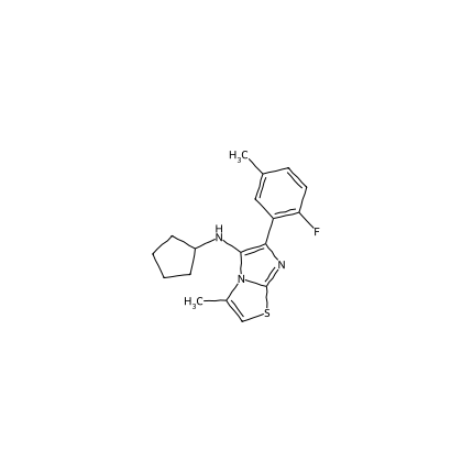 Cc1ccc(F)c(-c2nc3scc(C)n3c2NC2CCCC2)c1